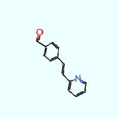 O=Cc1ccc(C=Cc2ccccn2)cc1